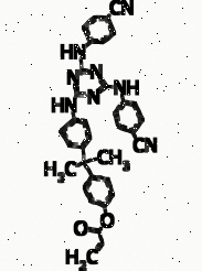 C=CC(=O)Oc1ccc(C(C)(C)c2ccc(Nc3nc(Nc4ccc(C#N)cc4)nc(Nc4ccc(C#N)cc4)n3)cc2)cc1